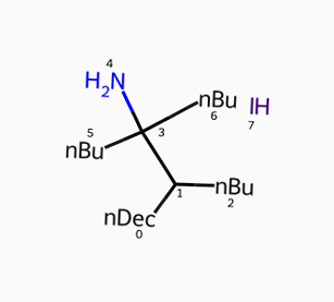 CCCCCCCCCCC(CCCC)C(N)(CCCC)CCCC.I